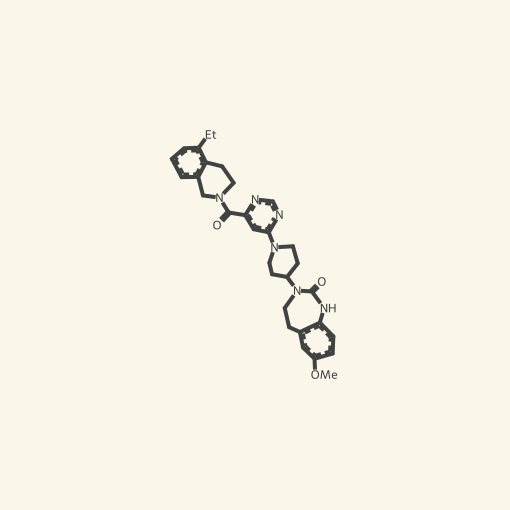 CCc1cccc2c1CCN(C(=O)c1cc(N3CCC(N4CCc5cc(OC)ccc5NC4=O)CC3)ncn1)C2